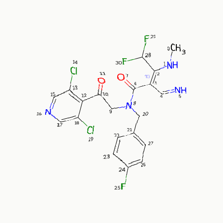 CN/C(=C(\C=N)C(=O)N(CC(=O)c1c(Cl)cncc1Cl)Cc1ccc(F)cc1)C(F)F